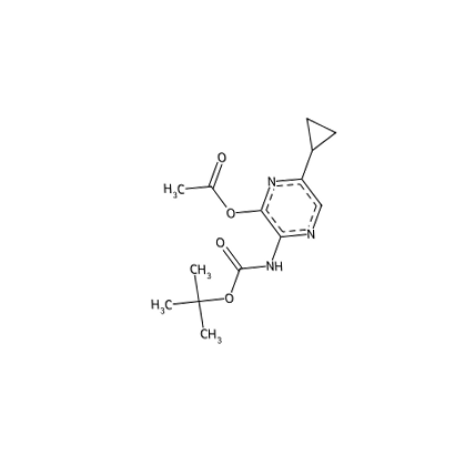 CC(=O)Oc1nc(C2CC2)cnc1NC(=O)OC(C)(C)C